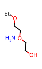 CCOCCOCCO.N